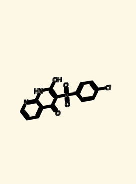 O=c1c(S(=O)(=O)c2ccc(Cl)cc2)c(O)[nH]c2ncccc12